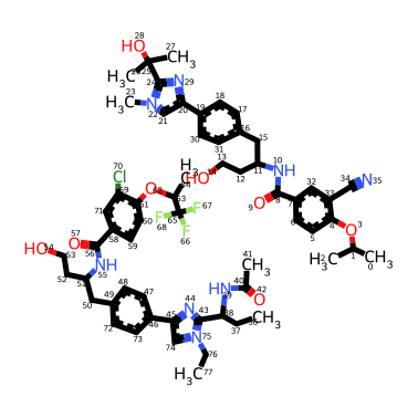 CC(C)Oc1ccc(C(=O)NC(CCO)Cc2ccc(-c3cn(C)c(C(C)(C)O)n3)cc2)cc1C#N.CCC(NC(C)=O)c1nc(-c2ccc(CC(CCO)NC(=O)c3ccc(OC(C)C(F)(F)F)c(Cl)c3)cc2)cn1CC